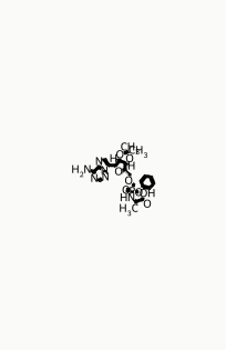 CC(NP(=O)(COC[C@H]1OC(c2cnc3c(N)ncnn23)[C@@H]2OC(C)(C)O[C@H]12)Oc1ccccc1)C(=O)O